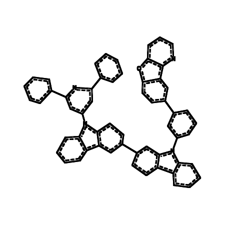 c1ccc(-c2cc(-n3c4ccccc4c4cc(-c5ccc6c7ccccc7n(-c7cccc(-c8ccc9oc%10cccnc%10c9c8)c7)c6c5)ccc43)cc(-c3ccccc3)n2)cc1